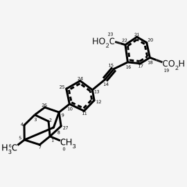 CC12CC3CC(C)(C1)CC(c1ccc(C#Cc4cc(C(=O)O)ccc4C(=O)O)cc1)(C3)C2